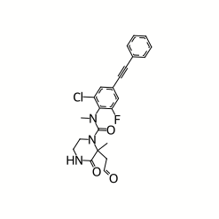 CN(C(=O)N1CCNC(=O)C1(C)CC=O)c1c(F)cc(C#Cc2ccccc2)cc1Cl